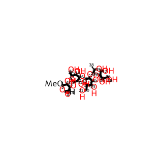 CO[C@@H]1OC2O[C@@H]2C(O[C@@H]2OC(CO)[C@@H](O)C(O[C@@H]3OC(CO)[C@@H](O)C(O)[C@H]3O[C@@H](OC(CO)[C@@H](O)CO)[C@@H](C)O)[C@H]2O)[C@@H]1O